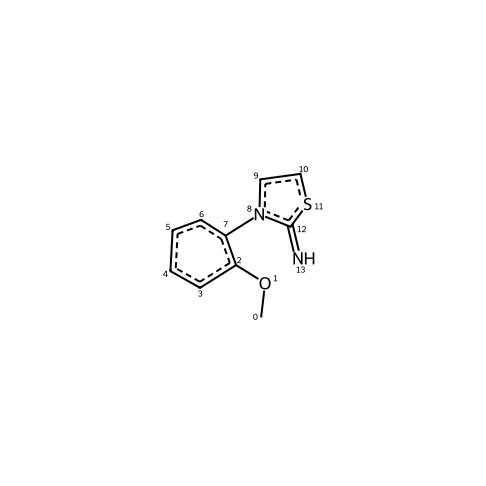 COc1ccccc1-n1ccsc1=N